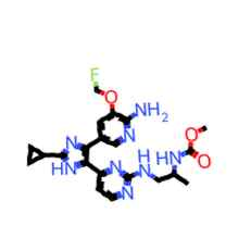 COC(=O)NC(C)CNc1nccc(-c2[nH]c(C3CC3)nc2-c2cnc(N)c(OCF)c2)n1